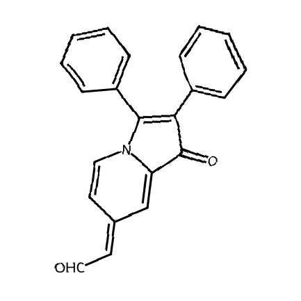 O=CC=C1C=CN2C(=C1)C(=O)C(c1ccccc1)=C2c1ccccc1